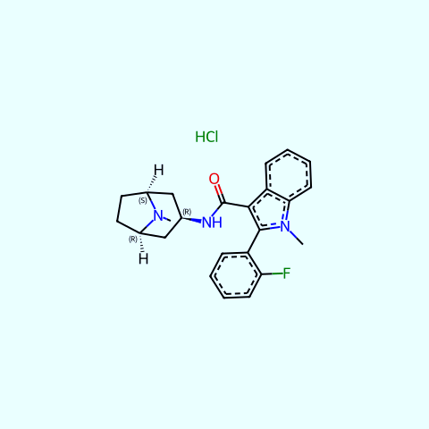 CN1[C@@H]2CC[C@H]1C[C@@H](NC(=O)c1c(-c3ccccc3F)n(C)c3ccccc13)C2.Cl